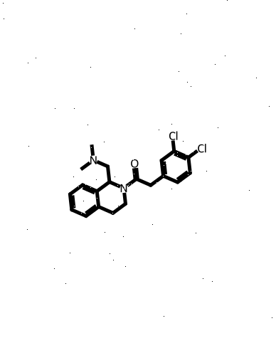 CN(C)CC1c2ccccc2CCN1C(=O)Cc1ccc(Cl)c(Cl)c1